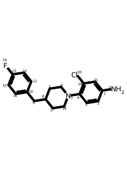 Nc1ccc(N2CCC(Cc3ccc(F)cc3)CC2)c(Cl)c1